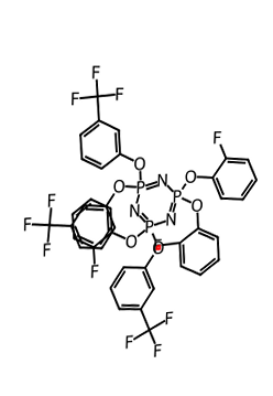 Fc1ccccc1OP1(Oc2cccc(C(F)(F)F)c2)=NP(Oc2cccc(C(F)(F)F)c2)(Oc2cccc(C(F)(F)F)c2)=NP(Oc2ccccc2F)(Oc2ccccc2F)=N1